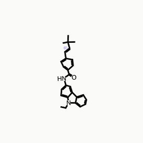 CCn1c2ccccc2c2cc(NC(=O)c3ccc(/C=C/C(C)(C)C)cc3)ccc21